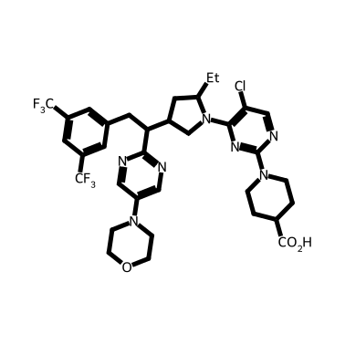 CCC1CC(C(Cc2cc(C(F)(F)F)cc(C(F)(F)F)c2)c2ncc(N3CCOCC3)cn2)CN1c1nc(N2CCC(C(=O)O)CC2)ncc1Cl